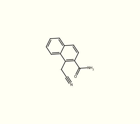 N#C[CH]c1c(C(N)=O)ccc2ccccc12